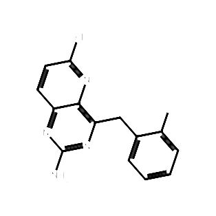 Nc1nc(Cc2ccccc2F)c2nc(Cl)ccc2n1